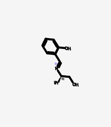 CC(C)[C@@H](CO)/N=C/c1ccccc1O